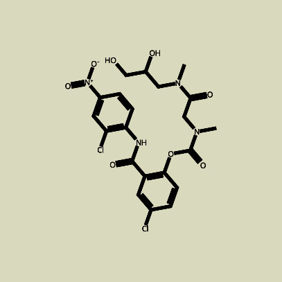 CN(CC(O)CO)C(=O)CN(C)C(=O)Oc1ccc(Cl)cc1C(=O)Nc1ccc([N+](=O)[O-])cc1Cl